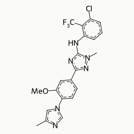 COc1cc(-c2nc(Nc3cccc(Cl)c3C(F)(F)F)n(C)n2)ccc1-n1cnc(C)c1